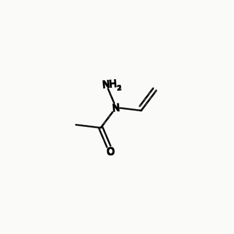 C=CN(N)C(C)=O